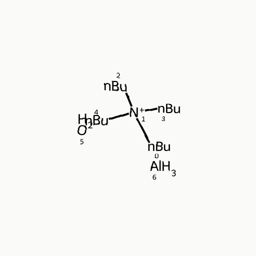 CCCC[N+](CCCC)(CCCC)CCCC.O.[AlH3]